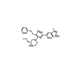 CCC[C@H]1CN(c2nc(-c3ccc4[nH]nc(C)c4c3)nnc2CCc2ccccc2)CCN1